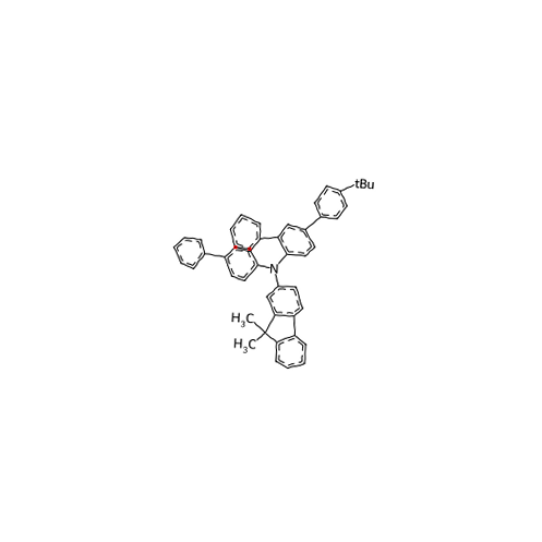 CC(C)(C)c1ccc(-c2ccc(N(c3ccc(-c4ccccc4)cc3)c3ccc4c(c3)C(C)(C)c3ccccc3-4)c(-c3ccccc3)c2)cc1